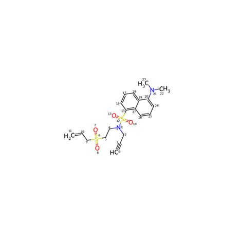 C#CCN(CCS(=O)(=O)CC=C)S(=O)(=O)c1cccc2c(N(C)C)cccc12